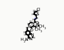 CO[C@H](C)C1C(=O)N(Cc2ccc3c(N)ncnc3c2)CCN1C(=O)/C=C/c1ccc(Cl)s1